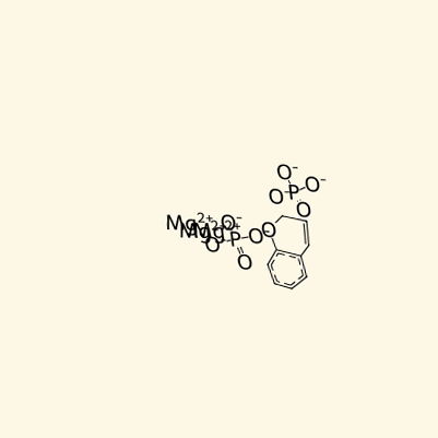 C1=Cc2ccccc2OC1.O=P([O-])([O-])[O-].O=P([O-])([O-])[O-].[Mg+2].[Mg+2].[Mg+2]